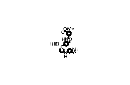 COC(=O)c1cccc(C(=O)Nc2cc(CN3CCCC(Nc4ccc5[nH]ncc5c4)C3)ccc2C)c1.Cl.Cl